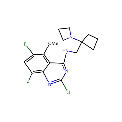 COc1c(F)cc(F)c2nc(Cl)nc(NCC3(N4CCC4)CCC3)c12